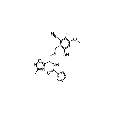 COc1cc(O)c(CSC[C@H](NC(=O)c2cccs2)c2nc(C)no2)c(C#N)c1C